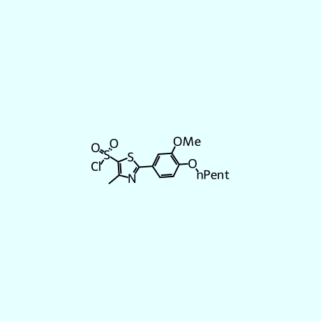 CCCCCOc1ccc(-c2nc(C)c(S(=O)(=O)Cl)s2)cc1OC